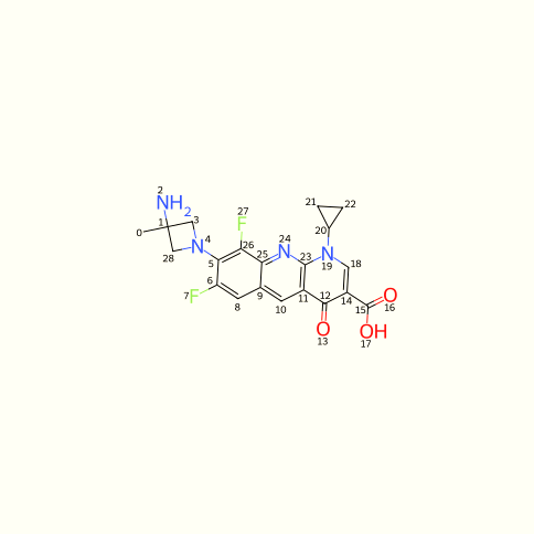 CC1(N)CN(c2c(F)cc3cc4c(=O)c(C(=O)O)cn(C5CC5)c4nc3c2F)C1